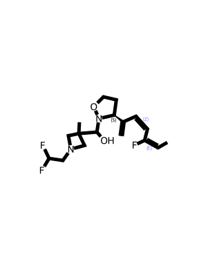 C=C(/C=C\C(F)=C/C)[C@@H]1CCON1C(O)C1(C)CN(CC(F)F)C1